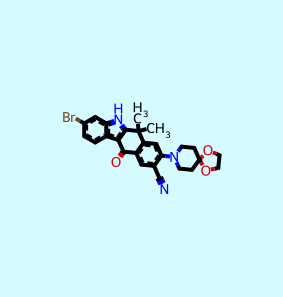 CC1(C)c2cc(N3CCC4(CC3)OCCO4)c(C#N)cc2C(=O)c2c1[nH]c1cc(Br)ccc21